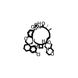 C[C@H]1C/C=C/[C@@]2(CN3CCOCC3CO2)[C@@H]2CC[C@H]2CN2C[C@@]3(CCCc4cc(Cl)ccc43)COc3ccc(cc32)S(=O)(=O)NC(=O)[C@@H]1C